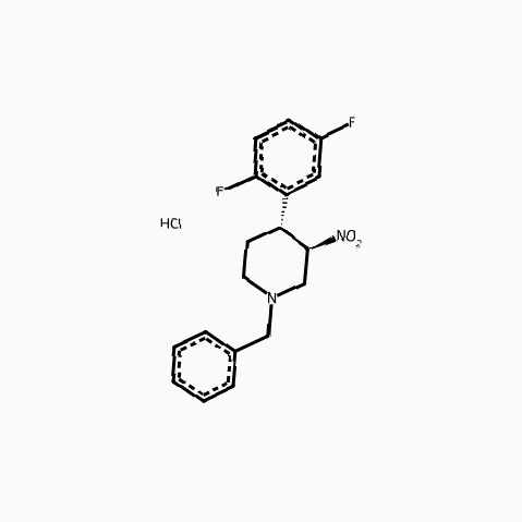 Cl.O=[N+]([O-])[C@H]1CN(Cc2ccccc2)CC[C@@H]1c1cc(F)ccc1F